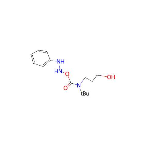 CC(C)(C)N(CCCO)C(=O)ONNc1ccccc1